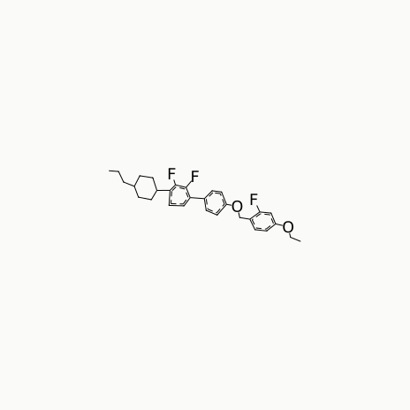 CCCC1CCC(c2ccc(-c3ccc(OCc4ccc(OCC)cc4F)cc3)c(F)c2F)CC1